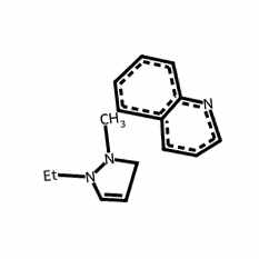 CCN1C=CCN1C.c1ccc2ncccc2c1